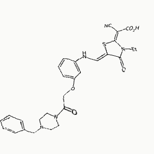 CCn1c(=C(C#N)C(=O)O)sc(=CNc2cccc(OCC(=O)N3CCN(Cc4ccccc4)CC3)c2)c1=O